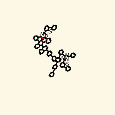 c1ccc(-c2ccc(-c3ccc(-c4ccccc4-c4nc(-c5ccccc5)nc(-c5cccc6c5sc5ccccc56)n4)c4cc(-c5ccc(-c6ccc(-c7c8ccccc8c(-c8ccccc8-c8nc(-c9ccccc9)nc(-c9cccc%10c9sc9ccccc9%10)n8)c8ccccc78)c7ccccc67)cc5)ccc34)cc2)cc1